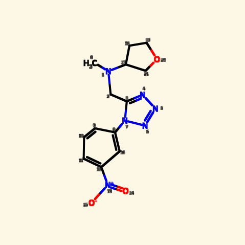 CN(Cc1nnnn1-c1cccc([N+](=O)[O-])c1)C1CCOC1